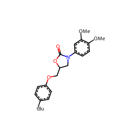 COc1ccc(N2CC(COc3ccc(C(C)(C)C)cc3)OC2=O)cc1OC